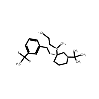 CN(CCO)[C@]1(CCc2cccc(C(C)(F)F)c2)CCCN(C(C)(C)C)C1